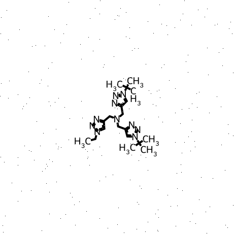 CCn1cc(CN(Cc2cn(C(C)(C)C)nn2)Cc2cn(C(C)(C)C)nn2)nn1